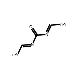 CCCC=NC(=O)N=CCCC